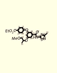 CCOC(=O)c1ccc(Oc2cc(OC(C)COC)cc(C(=O)Nc3nc(C)ns3)c2)cc1